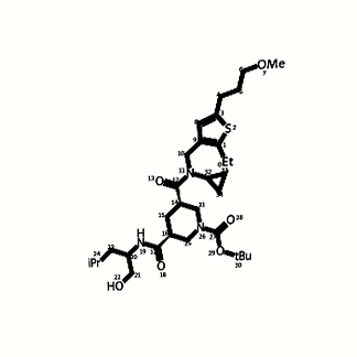 CCc1sc(CCCOC)cc1CN(C(=O)[C@@H]1C[C@H](C(=O)NC(CO)CC(C)C)CN(C(=O)OC(C)(C)C)C1)C1CC1